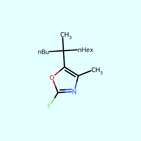 CCCCCCC(C)(CCCC)c1oc(F)nc1C